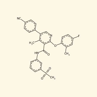 Cc1cc(F)ccc1Oc1ncc(-c2ccc(C#N)cc2)c(C)c1C(=O)Nc1cccc(S(C)(=O)=O)c1